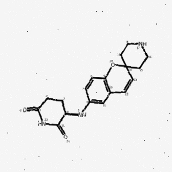 O=C1CCC(Nc2ccc3c(c2)C=CC2(CCNCC2)O3)C(=O)N1